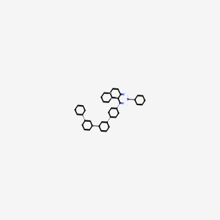 c1ccc(-c2cccc(-c3cccc(-c4ccc(-c5nc(-c6ccccc6)nc6ccc7ccccc7c56)cc4)c3)c2)cc1